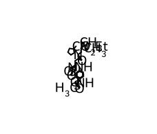 CCOC(=O)C1CCCC1N(CCN(C)C)C(=O)CC1=NS(=O)(=O)c2cc(NS(C)(=O)=O)ccc2N1